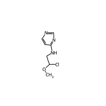 COC(Cl)CNc1ccncn1